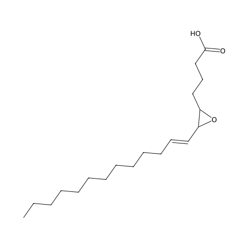 CCCCCCCCCCCC=CC1OC1CCCC(=O)O